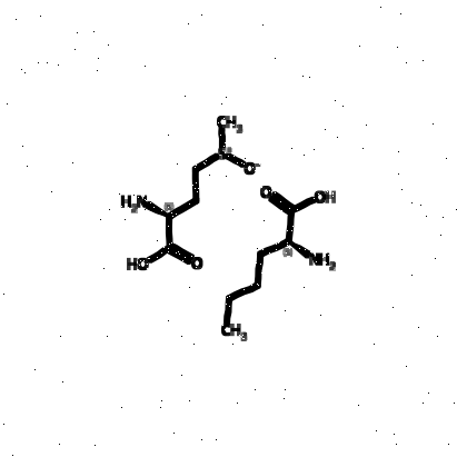 CCCC[C@H](N)C(=O)O.C[S+]([O-])CC[C@H](N)C(=O)O